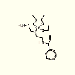 C=CC(NCCC(CCN)[Si](OCC)(OCC)OCC)c1ccccc1